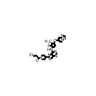 CC/C=C/C(=O)N1CC=C(c2ncc3ncnc(Nc4ccc(Oc5ccn6ncnc6c5)c(C)c4F)c3n2)CC1